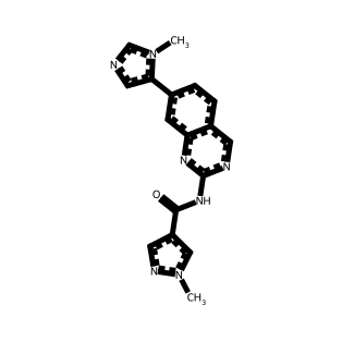 Cn1cc(C(=O)Nc2ncc3ccc(-c4cncn4C)cc3n2)cn1